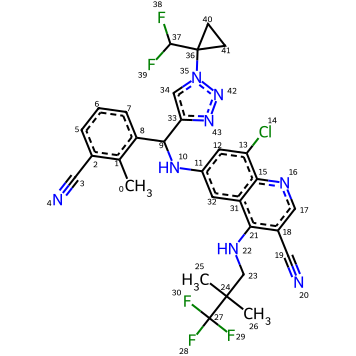 Cc1c(C#N)cccc1C(Nc1cc(Cl)c2ncc(C#N)c(NCC(C)(C)C(F)(F)F)c2c1)c1cn(C2(C(F)F)CC2)nn1